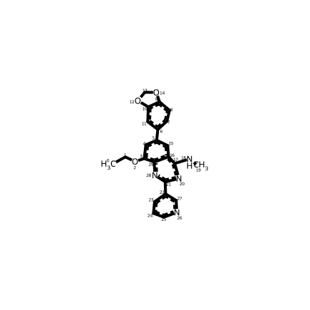 CCOc1cc(-c2ccc3c(c2)OCO3)cc2c(NC)nc(-c3cccnc3)nc12